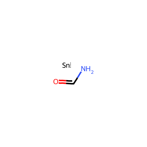 NC=O.[Sn]